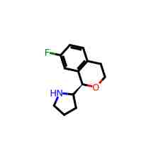 Fc1ccc2c(c1)[C@H](C1CCCN1)OCC2